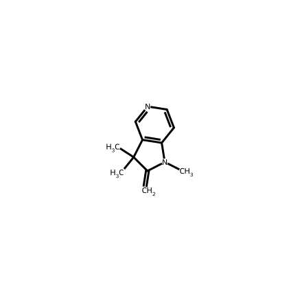 C=C1N(C)c2ccncc2C1(C)C